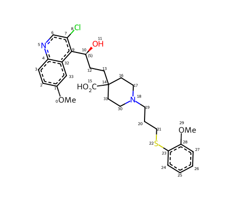 COc1ccc2ncc(Cl)c([C@@H](O)CCC3(C(=O)O)CCN(CCCSc4ccccc4OC)CC3)c2c1